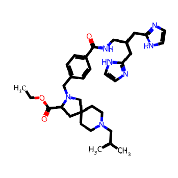 CCOC(=O)C1CC2(CCN(CC(C)C)CC2)CN1Cc1ccc(C(=O)NCC(Cc2ncc[nH]2)Cc2ncc[nH]2)cc1